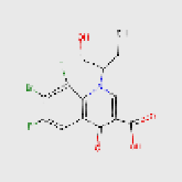 CCC(CO)n1cc(C(=O)O)c(=O)c2cc(F)c(Br)c(F)c21